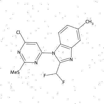 CSc1nc(Cl)cc(-n2c(C(F)F)nc3cc(C)ccc32)n1